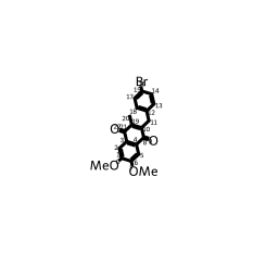 COc1cc2c(cc1OC)C(=O)C(Cc1ccc(Br)cc1)=C(C)C2=O